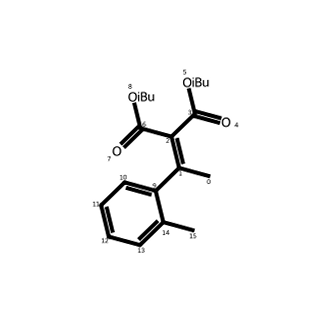 CC(=C(C(=O)OCC(C)C)C(=O)OCC(C)C)c1ccccc1C